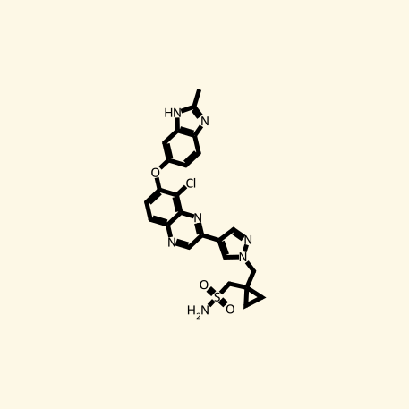 Cc1nc2ccc(Oc3ccc4ncc(-c5cnn(CC6(CS(N)(=O)=O)CC6)c5)nc4c3Cl)cc2[nH]1